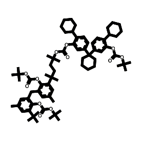 Cc1cc(Cc2cc(C)cc(C(C)(C)CCC(C)(C)OC(=O)Oc3cc(C4(c5ccc(C6CCCCC6)c(OC(=O)OC(C)(C)C)c5)CCCCC4)ccc3C3CCCCC3)c2OC(=O)OC(C)(C)C)c(OC(=O)OC(C)(C)C)c(C(C)(C)C)c1